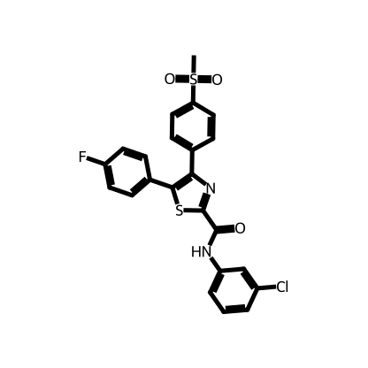 CS(=O)(=O)c1ccc(-c2nc(C(=O)Nc3cccc(Cl)c3)sc2-c2ccc(F)cc2)cc1